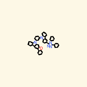 c1ccc(-c2nnc(-c3ccc4c(c3)c3ccccc3n4-c3cccc(-n4c5ccccc5c5cc6c(cc54)oc4ccccc46)c3)n2-c2ccccc2)cc1